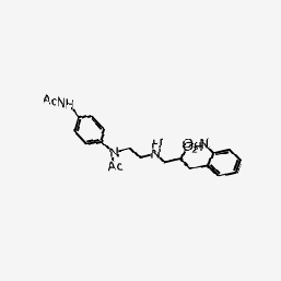 CC(=O)Nc1ccc(N(CCNCC(O)Cc2ccccc2[N+](=O)[O-])C(C)=O)cc1